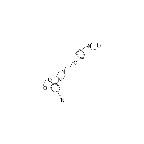 N#Cc1cc2c(c(N3CCN(CCCOc4ccc(CN5CCOCC5)cc4)CC3)c1)OCCO2